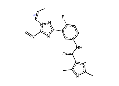 C=Nc1nc(-c2cc(NC(=O)c3oc(C)nc3C)ccc2F)nn1/C=C\C